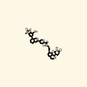 CC(C)c1cc(-c2cccc3cc(-c4ccc(C(=O)NCC#Cc5ccc6ccnc(C7CCC(=O)NC7=O)c6c5)nc4)ncc23)cc2c1n(C)c(=O)n2C